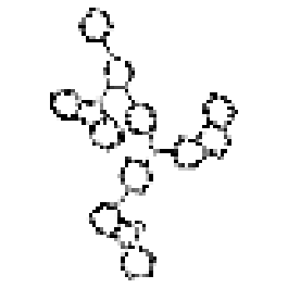 c1ccc(-c2ccc(-c3ccc(N(c4ccc(-c5cccc6c5oc5ccccc56)cc4)c4ccc5ccc6ccccc6c5c4)cc3)c(-n3c4ccccc4c4ccccc43)c2)cc1